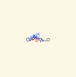 CC1CC(NC(=O)c2nn(C)c3nc(N4CCCCCCC4)ccc23)CCN1CCCC1CCCCC1